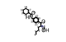 CCCC/C(=N\O)C(=O)c1ccc(NC(=O)C2CCCCC2)cc1